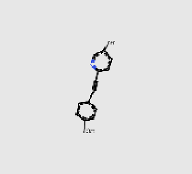 CCCCCCCCc1ccc(C#Cc2ccc(CCC)cn2)cc1